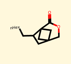 CCCCCCCC1CC23COC(=O)C1(C2)C3